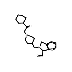 O=CC1c2ccccc2CN1CC1CCN(CC(=O)C2CCCCC2)CC1